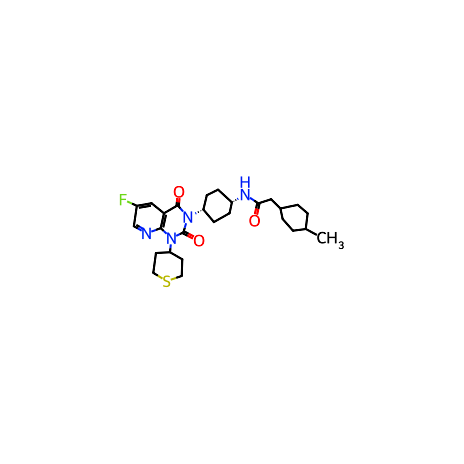 CC1CCC(CC(=O)N[C@H]2CC[C@@H](n3c(=O)c4cc(F)cnc4n(C4CCSCC4)c3=O)CC2)CC1